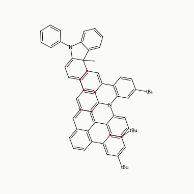 CC(C)(C)c1cc(-c2cccc3cccc(-c4ccccc4N(c4cccc(C5=CC=C6N(c7ccccc7)c7ccccc7C6(C)C5)c4)c4cc(C(C)(C)C)ccc4-c4ccccc4)c23)cc(C(C)(C)C)c1